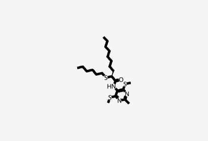 CCCCCCCC[C@H](SCCCCCC)C(=O)Nc1c(SC)nc(C)nc1SC